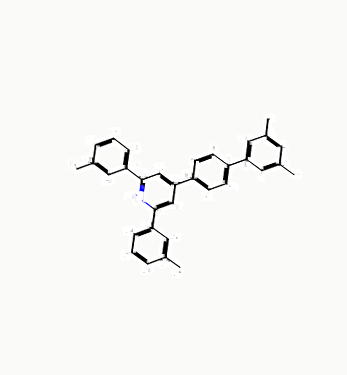 Cc1cc(C)cc(-c2ccc(-c3cc(-c4cccc(C)c4)nc(-c4cccc(C)c4)c3)cc2)c1